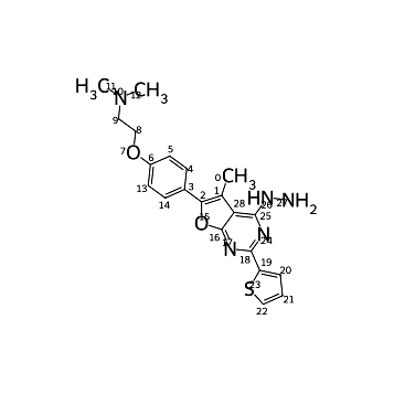 Cc1c(-c2ccc(OCCN(C)C)cc2)oc2nc(-c3cccs3)nc(NN)c12